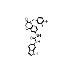 Cc1cc(CN2C(=O)COc3cc(NC(=O)Nc4ccc5cc[nH]c5c4)ccc32)ccc1F